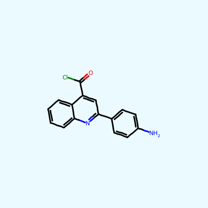 Nc1ccc(-c2cc(C(=O)Cl)c3ccccc3n2)cc1